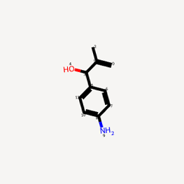 C=C(C)C(O)c1ccc(N)cc1